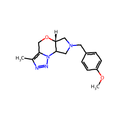 COc1ccc(CN2CC3[C@@H](C2)OCc2c(C)nnn23)cc1